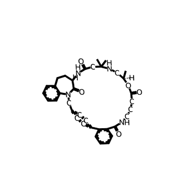 C[C@@H]1CNC(C)(C)CC(=O)N[C@@H]2CCc3ccccc3N(Cc3ccc(cc3)-c3ccccc3C(=O)NCCCC(=O)O1)C2=O